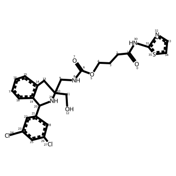 O=C(CCCOC(=O)NCC1(CO)Cc2ccccc2C(c2cc(Cl)cc(Cl)c2)N1)Nc1nccs1